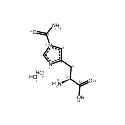 Cl.Cl.NC(=O)n1cnc(C[C@H](N)C(=O)O)c1